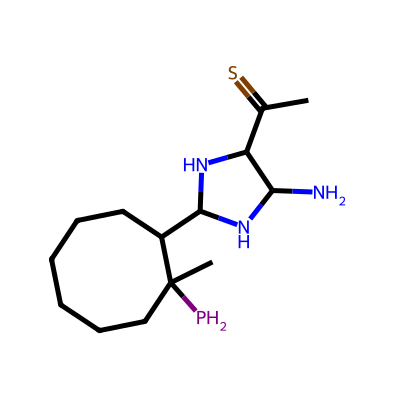 CC(=S)C1NC(C2CCCCCCC2(C)P)NC1N